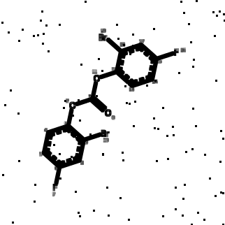 O=C(Oc1ccc(F)cc1Br)Oc1ccc(F)cc1Br